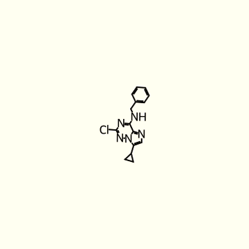 Clc1nc(NCc2ccccc2)c2ncc(C3CC3)n2n1